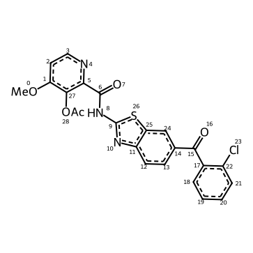 COc1ccnc(C(=O)Nc2nc3ccc(C(=O)c4ccccc4Cl)cc3s2)c1OC(C)=O